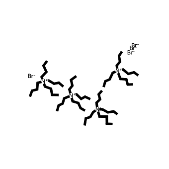 CCCC[N+](CCCC)(CCCC)CCCC.CCCC[N+](CCCC)(CCCC)CCCC.CCCC[N+](CCCC)(CCCC)CCCC.CCCC[N+](CCCC)(CCCC)CCCC.[Br-].[Br-].[Br-].[Br-]